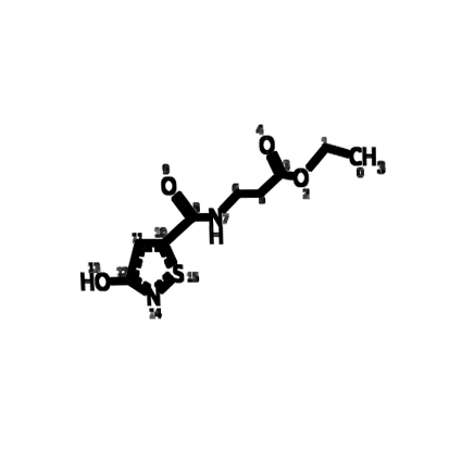 CCOC(=O)CCNC(=O)c1cc(O)ns1